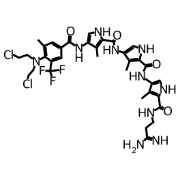 Cc1cc(C(=O)Nc2c[nH]c(C(=O)Nc3c[nH]c(C(=O)Nc4c[nH]c(C(=O)NCCC(=N)N)c4C)c3C)c2C)cc(C(F)(F)F)c1N(CCCl)CCCl